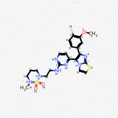 COc1cc(-c2nc3sccn3c2-c2ccnc(NCCN3CCCN(C)S3(=O)=O)n2)ccc1F